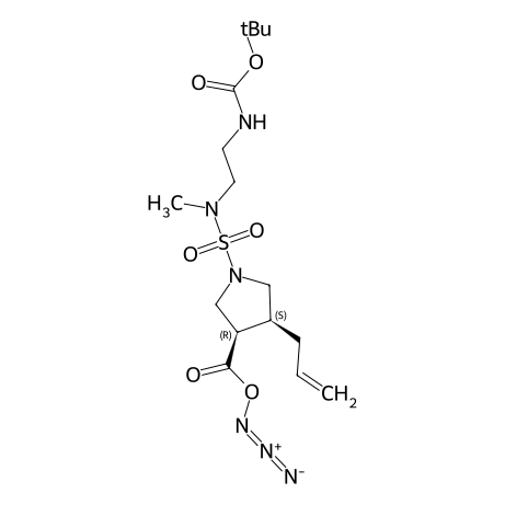 C=CC[C@@H]1CN(S(=O)(=O)N(C)CCNC(=O)OC(C)(C)C)C[C@@H]1C(=O)ON=[N+]=[N-]